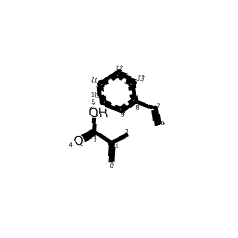 C=C(C)C(=O)O.C=Cc1ccccc1